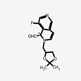 CC1(C)OCC(CN2C=Cc3cncc(F)c3[C@@H]2C=O)O1